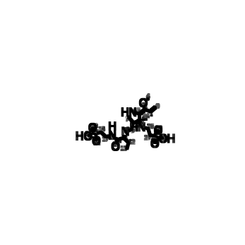 C=C/C(OC)=C1/NC[C@H](C/N=C(\CC)C(=O)NCCS(=O)(=O)O)[C@@]1(C)NCCS(=O)(=O)O